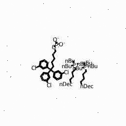 CCCCCCCCCCCCCC[P+](CCCC)(CCCC)CCCC.CCCCCCCCCCCCCC[P+](CCCC)(CCCC)CCCC.[O-]B([O-])OCCCCCC(c1cccc(Cl)c1)(c1cccc(Cl)c1)c1cccc(Cl)c1